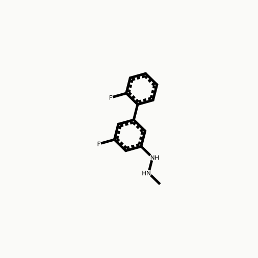 CNNc1cc(F)cc(-c2ccccc2F)c1